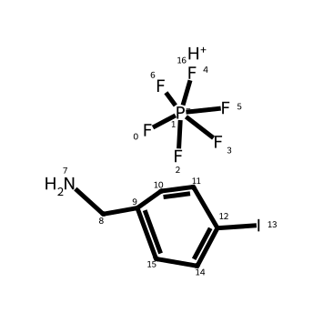 F[P-](F)(F)(F)(F)F.NCc1ccc(I)cc1.[H+]